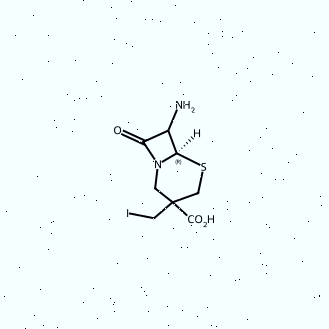 NC1C(=O)N2CC(CI)(C(=O)O)CS[C@H]12